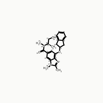 Cc1nc2c(OC3Cc4ccccc4C3)cc(C(=O)N(C)[C@H](C)CO)cc2n1C